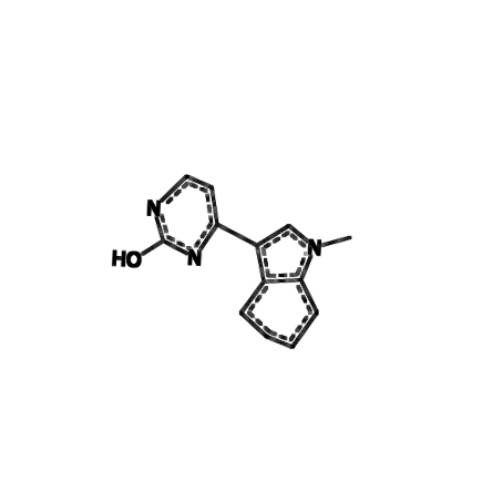 Cn1cc(-c2ccnc(O)n2)c2ccccc21